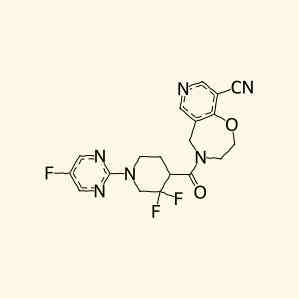 N#Cc1cncc2c1OCCN(C(=O)C1CCN(c3ncc(F)cn3)CC1(F)F)C2